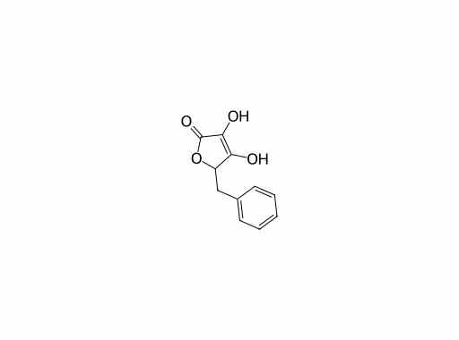 O=C1OC(Cc2ccccc2)C(O)=C1O